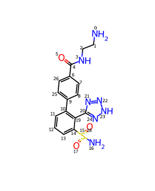 NCCNC(=O)c1ccc(-c2cccc(S(N)(=O)=O)c2-c2nn[nH]n2)cc1